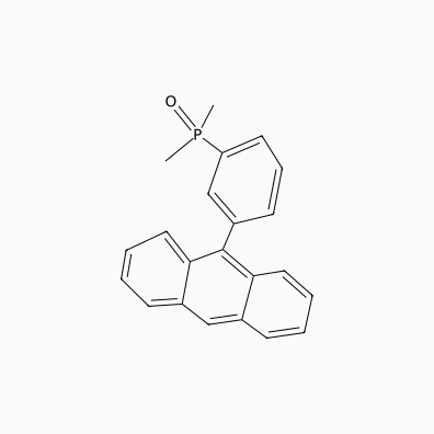 CP(C)(=O)c1cccc(-c2c3ccccc3cc3ccccc23)c1